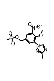 COc1c(-n2cnc(C)n2)cc(COS(C)(=O)=O)cc1[N+](=O)[O-]